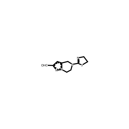 O=Cc1cc2n(n1)CCN(C1=NCCS1)C2